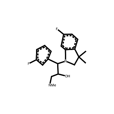 CNCC(O)C(c1cccc(F)c1)N1CC(C)(C)c2ccc(F)cc21